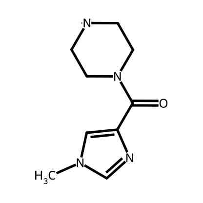 Cn1cnc(C(=O)N2CC[N]CC2)c1